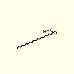 CCCCCC=CCC=CCCCCCCCC(O)CC(=O)OC